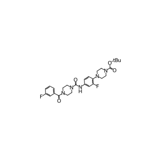 CC(C)(C)OC(=O)N1CCN(c2ccc(NC(=O)N3CCN(C(=O)c4cccc(F)c4)CC3)cc2F)CC1